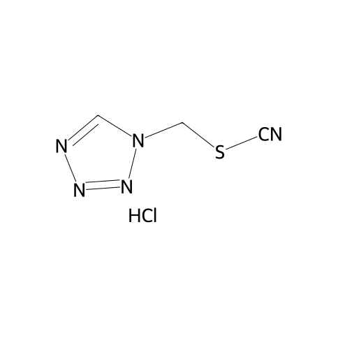 Cl.N#CSCn1cnnn1